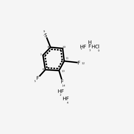 Cl.F.F.F.F.Fc1cc([S])cc(F)c1F